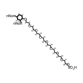 CCCCCCCCCc1ccc(OCCOCCOCCOCCOCCOCCOCCOCCOS(=O)(=O)O)c(CCCCCCCCC)c1